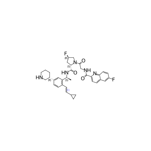 C[C@H](NC(=O)[C@@H]1C[C@@H](F)CN1C(=O)CNC(=O)c1ccc2cc(F)ccc2n1)c1cc([C@H]2CCCNC2)ccc1/C=C/C1CC1